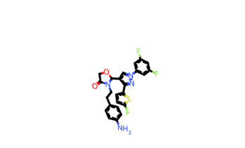 Nc1ccc(CCN2C(=O)COC2c2cn(-c3cc(F)cc(F)c3)nc2-c2ccc(F)s2)cc1